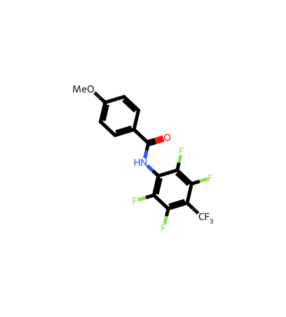 COc1ccc(C(=O)Nc2c(F)c(F)c(C(F)(F)F)c(F)c2F)cc1